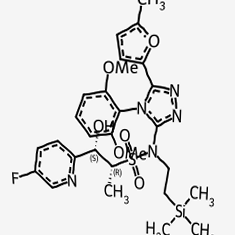 COc1cccc(OC)c1-n1c(-c2ccc(C)o2)nnc1N(CC[Si](C)(C)C)S(=O)(=O)[C@H](C)[C@@H](O)c1ccc(F)cn1